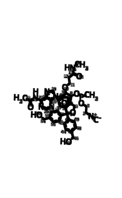 [C-]#[N+]CCOP(C)O[C@@H]1C(OCCC(=O)NC)[C@H](n2cnc3c(NC(C)=O)ncnc32)O[C@@H]1COC(c1ccccc1)(c1ccc(CO)cc1)c1ccc(CO)cc1